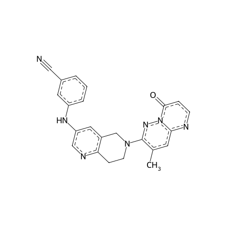 Cc1cc2nccc(=O)n2nc1N1CCc2ncc(Nc3cccc(C#N)c3)cc2C1